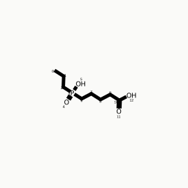 CCCP(=O)(O)CCCCC(=O)O